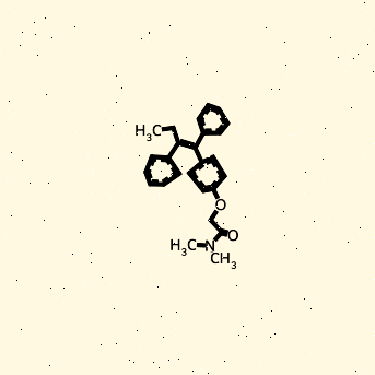 CC/C(=C(\c1ccccc1)c1ccc(OCC(=O)N(C)C)cc1)c1ccccc1